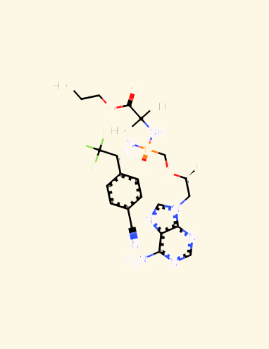 CCCOC(=O)C(C)(C)NP(=O)(CO[C@@H](C)Cn1cnc2c(N)ncnc21)N[C@H](c1ccc(C#N)cc1)C(F)(F)F